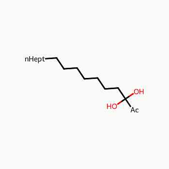 CCCCCCCCCCCCCCC(O)(O)C(C)=O